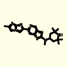 Cc1cn2cc(-c3cc4sc(N(C)C5CC(C)(C)NC(C)(C)C5)nc4cn3)nc2s1